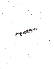 CC(C)CCC(=O)NCCOCCOCCOCCOCCC(=O)NCC(C)C